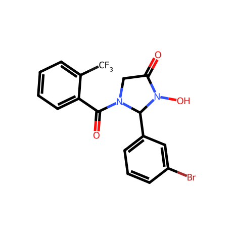 O=C1CN(C(=O)c2ccccc2C(F)(F)F)C(c2cccc(Br)c2)N1O